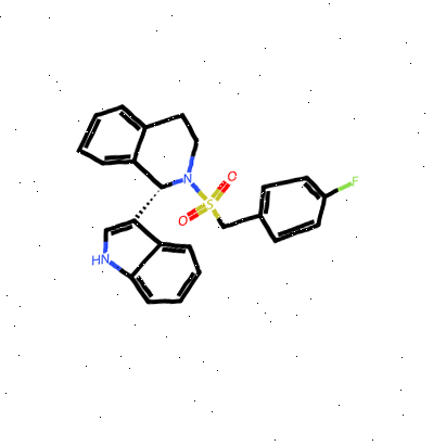 O=S(=O)(Cc1ccc(F)cc1)N1CCc2ccccc2[C@H]1c1c[nH]c2ccccc12